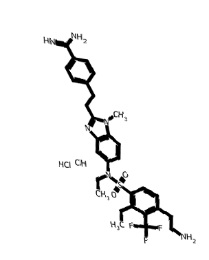 CCc1c(S(=O)(=O)N(CC)c2ccc3c(c2)nc(CCc2ccc(C(=N)N)cc2)n3C)ccc(CCN)c1C(F)(F)F.Cl.Cl